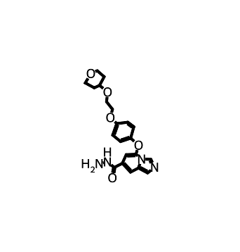 NNC(=O)c1cc(Oc2ccc(OCCOC3CCOCC3)cc2)n2cncc2c1